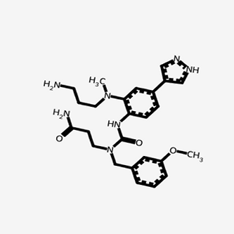 COc1cccc(CN(CCC(N)=O)C(=O)Nc2ccc(-c3cn[nH]c3)cc2N(C)CCCN)c1